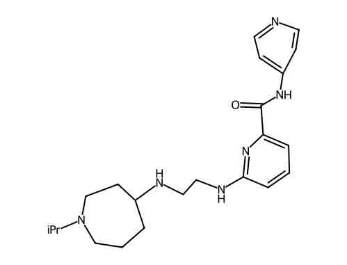 CC(C)N1CCCC(NCCNc2cccc(C(=O)Nc3ccncc3)n2)CC1